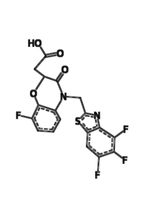 O=C(O)CC1Oc2c(F)cccc2N(Cc2nc3c(F)c(F)c(F)cc3s2)C1=O